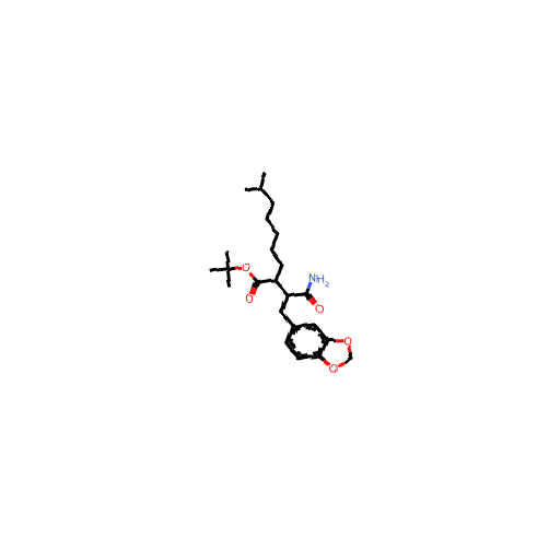 CC(C)CCCCCC(C(=O)OC(C)(C)C)C(Cc1ccc2c(c1)OCO2)C(N)=O